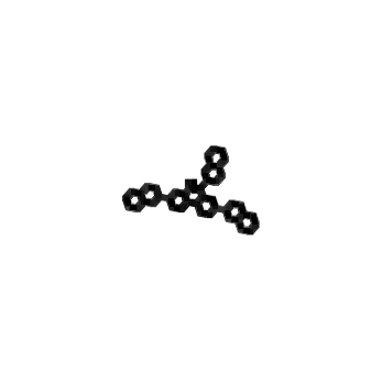 c1ccc2cc(-c3ccc4c(c3)nc(-c3ccc5ccccc5c3)c3cc(-c5ccc6ccccc6c5)ccc34)ccc2c1